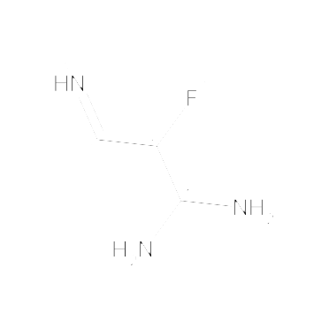 N=CC(F)C(N)N